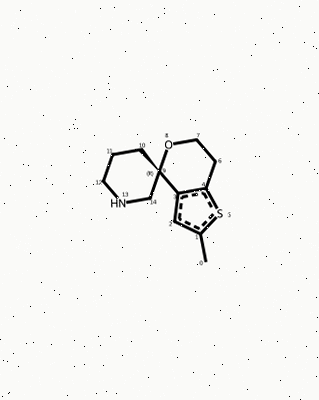 Cc1cc2c(s1)CCO[C@]21CCCNC1